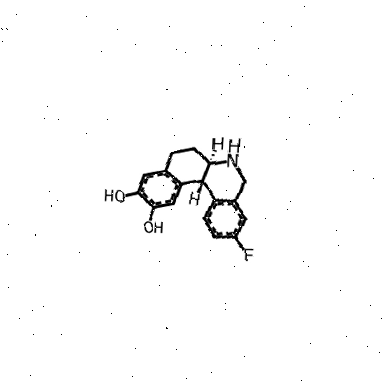 Oc1cc2c(cc1O)[C@H]1c3ccc(F)cc3CN[C@@H]1CC2